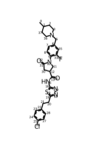 CC1CCN(Cc2ccc(N3CC(C(=O)Nc4nnc(CCc5ccc(Cl)cc5)s4)CC3=O)c(F)c2)CC1